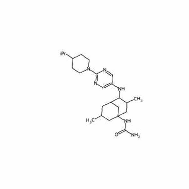 CC1CC2CC(NC(N)=O)(C1)CC(C)C2Nc1cnc(N2CCC(C(C)C)CC2)nc1